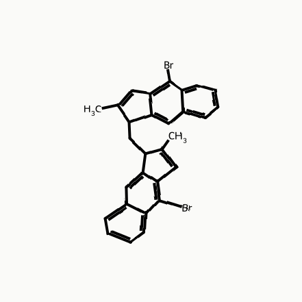 CC1=Cc2c(cc3ccccc3c2Br)C1CC1C(C)=Cc2c1cc1ccccc1c2Br